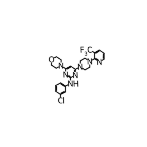 FC(F)(F)c1cccnc1N1CCN(c2cc(N3CCOCC3)nc(Nc3cccc(Cl)c3)n2)CC1